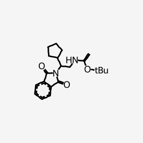 C=C(NCC(C1CCCC1)N1C(=O)c2ccccc2C1=O)OC(C)(C)C